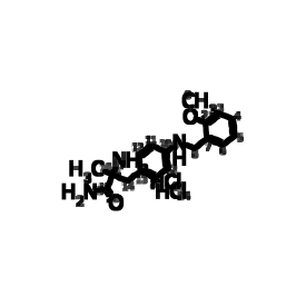 COc1ccccc1CNc1ccc(CC(C)(N)C(N)=O)cc1.Cl.Cl